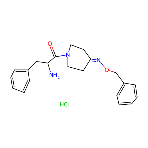 Cl.NC(Cc1ccccc1)C(=O)N1CCC(=NOCc2ccccc2)CC1